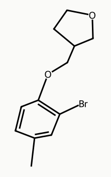 Cc1ccc(OCC2CCOC2)c(Br)c1